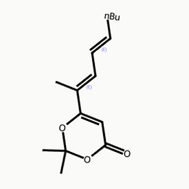 CCCC/C=C/C=C(\C)C1=CC(=O)OC(C)(C)O1